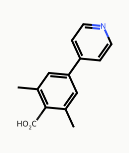 Cc1cc(-c2ccncc2)cc(C)c1C(=O)O